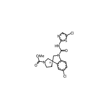 COC(=O)N1CC[C@@]2(C1)CN(C(=O)Nc1ncc(Cl)s1)c1ccc(Cl)cc12